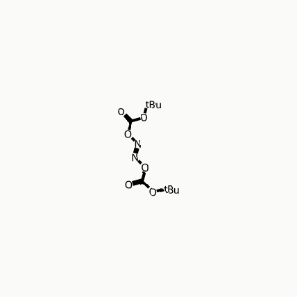 CC(C)(C)OC(=O)ON=NOC(=O)OC(C)(C)C